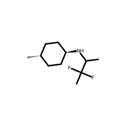 CC(N[C@H]1CC[C@H](C)CC1)C(C)(F)F